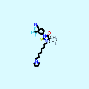 CC1(C)C(=O)N(c2ccc(C#N)c(C(F)(F)F)c2)C(=S)N1CCCCCCCCN1CCCC1